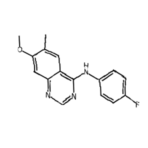 COc1cc2ncnc(Nc3ccc(F)cc3)c2cc1C